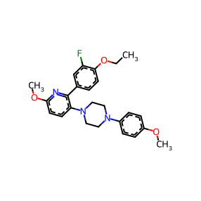 CCOc1ccc(-c2nc(OC)ccc2N2CCN(c3ccc(OC)cc3)CC2)cc1F